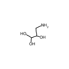 NCC(O)[C](O)O